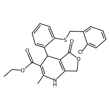 CCOC(=O)C1=C(C)NC2=C(C(=O)OC2)C1c1ccccc1SCc1ccccc1Cl